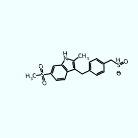 Cc1[nH]c2cc(S(C)(=O)=O)ccc2c1Cc1ccc(C[SH](=O)=O)cc1